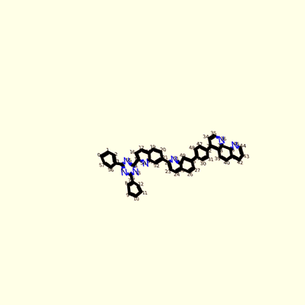 c1ccc(-c2nc(-c3ccccc3)nc(-c3ccc4ccc(-c5ccc6ccc(-c7ccc(-c8ccnc9c8ccc8cccnc89)cc7)cc6n5)cc4n3)n2)cc1